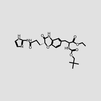 CCOC(=O)C(Cc1ccc2c(c1)NC(=O)[C@@H](CCC(=O)Nc1ncc[nH]1)O2)NC(=O)OCC(C)(C)C